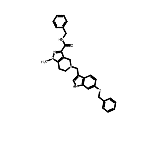 Cn1nc(C(=O)NCc2ccccc2)c2c1CCN(Cc1c[nH]c3cc(OCc4ccccc4)ccc13)C2